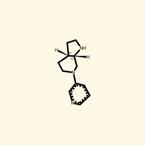 c1cncc(N2CC[C@@H]3CCN[C@@H]3C2)c1